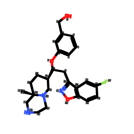 OCc1cccc(OC(Cc2noc3ccc(F)cc23)[C@@H]2CC[C@H]3CNCCN3C2)c1